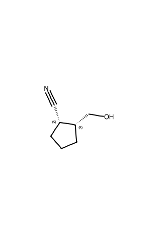 N#C[C@H]1CCC[C@H]1CO